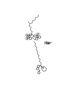 CCCCCC[C@H](C)CCCCCC[C@H](OS(=O)(=O)[O-])[C@@H](CCCCCCCCCCCCC(=O)N1CCCC[C@@H]1C(=O)OC)OS(=O)(=O)[O-].[Na+].[Na+]